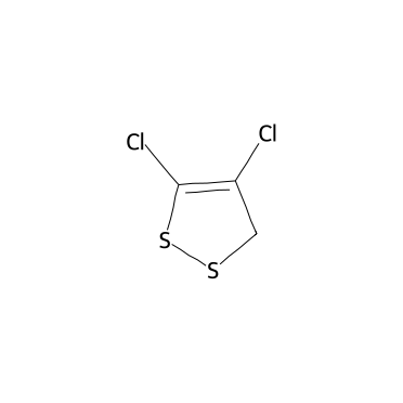 ClC1=C(Cl)SSC1